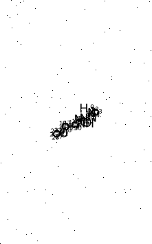 Cc1cccc2nc(C(=O)Nc3nc4cc(-c5cccc(OC6CCCCC6)c5)ccc4[nH]3)cn12